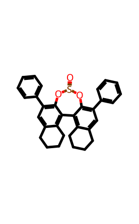 O=S1Oc2c(-c3ccccc3)cc3c(c2-c2c4c(cc(-c5ccccc5)c2O1)CCCC4)CCCC3